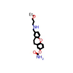 CCOCCCNCc1ccc2c(c1)CCc1cc(OC(N)=O)ccc1O2